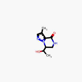 Cc1cnn2c1C(=O)NCC2C(C)O